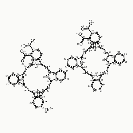 O=C([O-])c1ccc2c3nc4nc(nc5[nH]c(nc6nc(nc([nH]3)c2c1C(=O)[O-])-c1ccccc1-6)c1ccccc51)-c1ccccc1-4.O=C([O-])c1ccc2c3nc4nc(nc5[nH]c(nc6nc(nc([nH]3)c2c1C(=O)[O-])-c1ccccc1-6)c1ccccc51)-c1ccccc1-4.[Th+4]